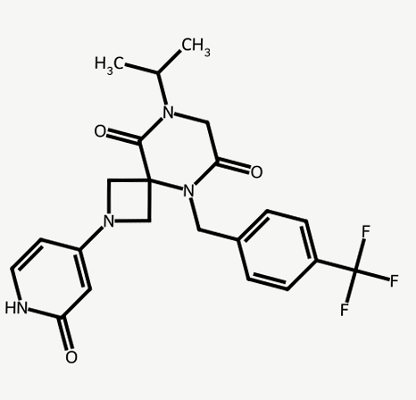 CC(C)N1CC(=O)N(Cc2ccc(C(F)(F)F)cc2)C2(CN(c3cc[nH]c(=O)c3)C2)C1=O